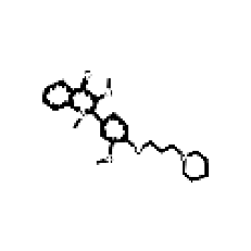 COc1cc(-c2c(OC)c(=O)c3ccccc3n2C)ccc1OCCCN1CCCCC1